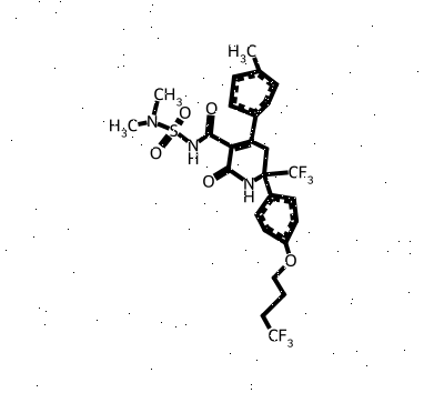 Cc1ccc(C2=C(C(=O)NS(=O)(=O)N(C)C)C(=O)NC(c3ccc(OCCCC(F)(F)F)cc3)(C(F)(F)F)C2)cc1